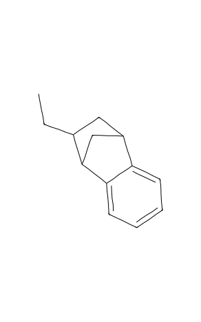 CCC1CC2CC1c1ccccc12